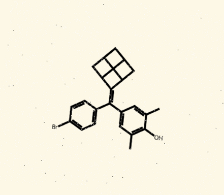 Cc1cc(C(=C2C3CC4CC5CC2C453)c2ccc(Br)cc2)cc(C)c1O